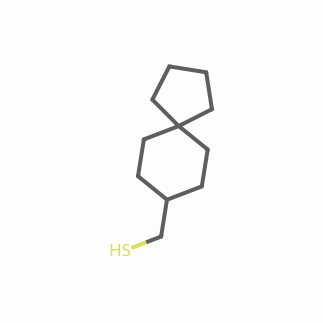 SCC1CCC2(CCCC2)CC1